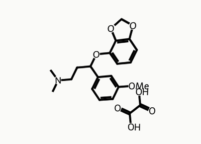 COc1cccc(C(CCN(C)C)Oc2cccc3c2OCO3)c1.O=C(O)C(=O)O